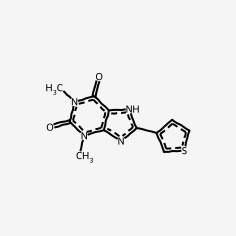 Cn1c(=O)c2[nH]c(-c3ccsc3)nc2n(C)c1=O